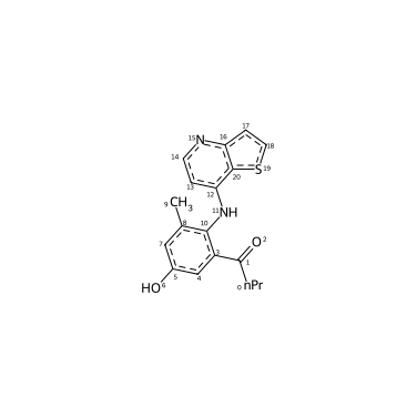 CCCC(=O)c1cc(O)cc(C)c1Nc1ccnc2ccsc12